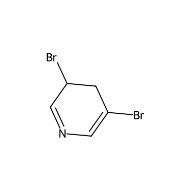 BrC1=CN=CC(Br)C1